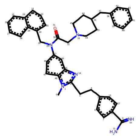 Cn1c(CCc2ccc(C(=N)N)cc2)nc2cc(N(Cc3cccc4ccccc34)C(=O)CN3CCC(Cc4ccccc4)CC3)ccc21